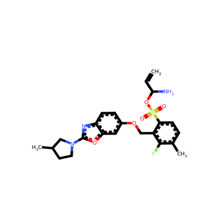 C=CC(N)OS(=O)(=O)c1ccc(C)c(F)c1COc1ccc2nc(N3CCC(C)C3)oc2c1